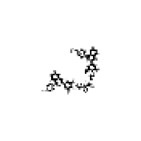 CCN1CCN(c2nc(-c3cc(F)c(OCCOC(=O)C(=O)OCCOc4c(F)cc(-c5cc6ccccc6c(N6CCN(CC)CC6)n5)cc4F)c(F)c3)cc3ccccc23)CC1